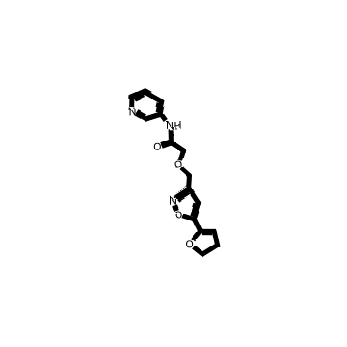 O=C(COCc1cc(C2=CCCO2)on1)Nc1cccnc1